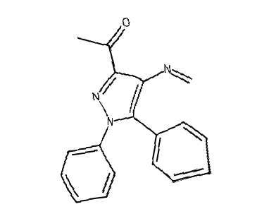 C=Nc1c(C(C)=O)nn(-c2ccccc2)c1-c1ccccc1